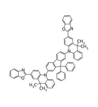 CC1(C)c2ccccc2N(c2ccc3c(c2)C(c2ccccc2)(c2ccccc2)c2cc(N4c5ccccc5C(C)(C)c5cc(-c6nc7ccccc7o6)ccc54)ccc2-3)c2ccc(-c3nc4ccccc4o3)cc21